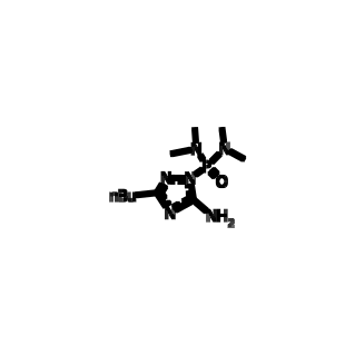 CCCCc1nc(N)n(P(=O)(N(C)C)N(C)C)n1